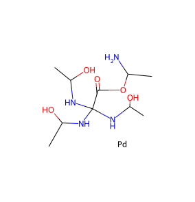 CC(O)NC(NC(C)O)(NC(C)O)C(=O)OC(C)N.[Pd]